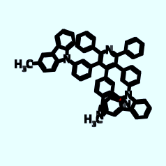 Cc1ccc2c(c1)c1ccccc1n2-c1cccc(-c2c(-c3ccccc3)nc(-c3ccccc3)c(-c3cccc(-n4c5ccccc5c5cc(C)ccc54)c3)c2-c2ccc(C#N)c(C#N)c2)c1